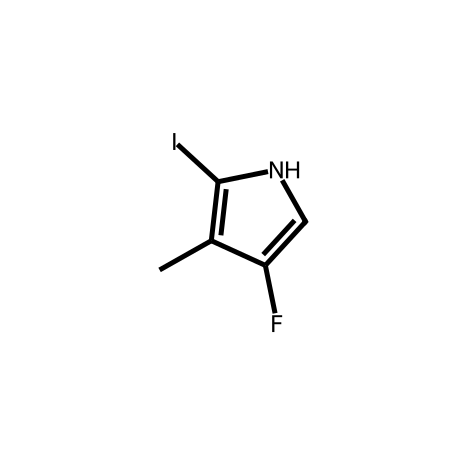 Cc1c(F)c[nH]c1I